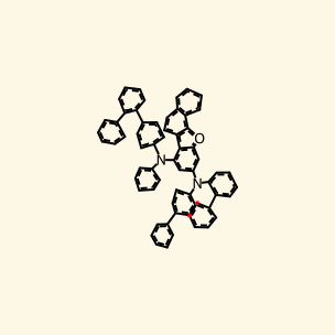 c1ccc(-c2ccc(N(c3cc(N(c4ccccc4)c4ccc(-c5ccccc5-c5ccccc5)cc4)c4c(c3)oc3c5ccccc5ccc34)c3ccccc3-c3ccccc3)cc2)cc1